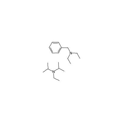 CCN(C(C)C)C(C)C.CCN(CC)Cc1ccccc1